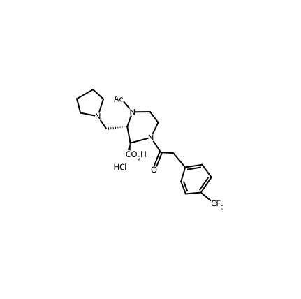 CC(=O)N1CCN(C(=O)Cc2ccc(C(F)(F)F)cc2)[C@@H](C(=O)O)[C@@H]1CN1CCCC1.Cl